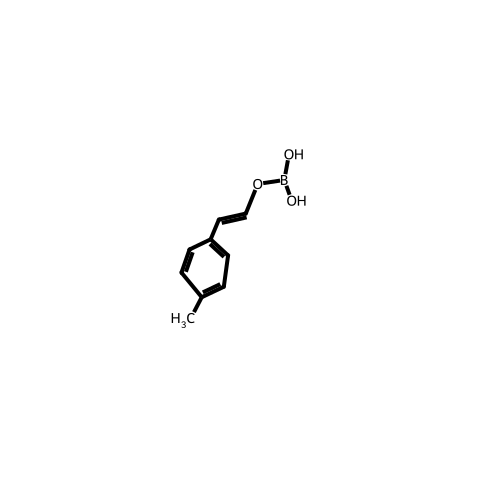 Cc1ccc(/C=C/OB(O)O)cc1